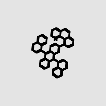 c1ccc2c(-c3c4ccccc4c(-c4cccc5ccccc45)c4cc(-c5cccc6ccc7cccnc7c56)ccc34)cccc2c1